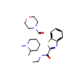 CC(C)CN(C(=O)c1nc2ccccc2s1)[C@H]1C[C@@H](C(=O)N2CCOCC2)CN(C(=O)O)C1C(C)(C)C